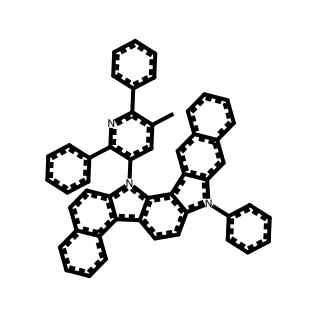 Cc1cc(-n2c3ccc4ccccc4c3c3ccc4c(c5cc6ccccc6cc5n4-c4ccccc4)c32)c(-c2ccccc2)nc1-c1ccccc1